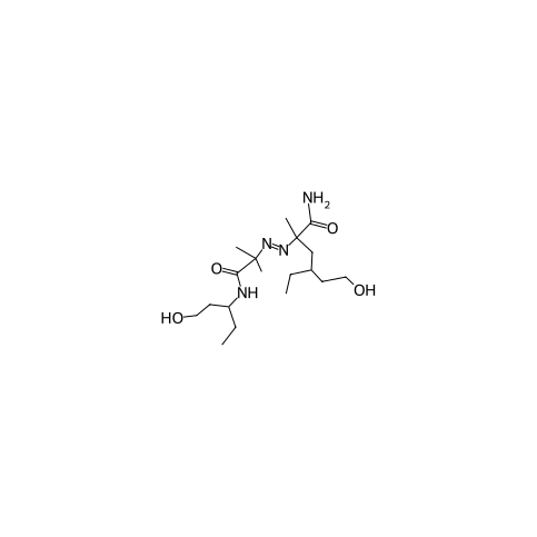 CCC(CCO)CC(C)(N=NC(C)(C)C(=O)NC(CC)CCO)C(N)=O